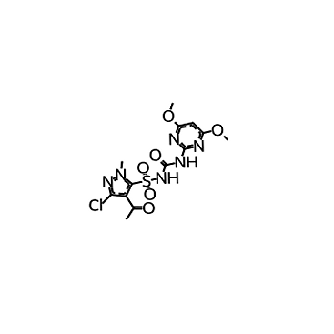 COc1cc(OC)nc(NC(=O)NS(=O)(=O)c2c(C(C)=O)c(Cl)nn2C)n1